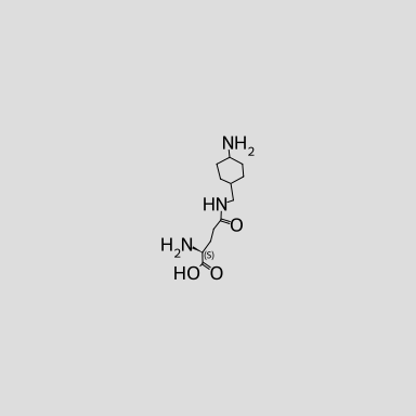 NC1CCC(CNC(=O)CC[C@H](N)C(=O)O)CC1